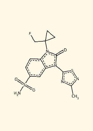 Cc1nsc(-n2c(=O)n(C3(CF)CC3)c3ccc(S(N)(=O)=O)cc32)n1